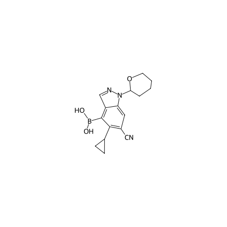 N#Cc1cc2c(cnn2C2CCCCO2)c(B(O)O)c1C1CC1